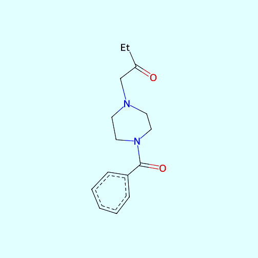 CCC(=O)CN1CCN(C(=O)c2ccccc2)CC1